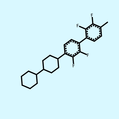 Cc1ccc(-c2ccc(C3CCC(C4CCCCC4)CC3)c(F)c2F)c(F)c1F